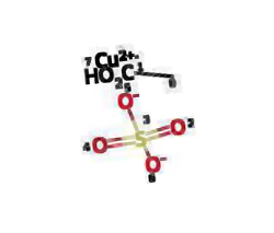 CC(=O)O.O=S(=O)([O-])[O-].[Cu+2]